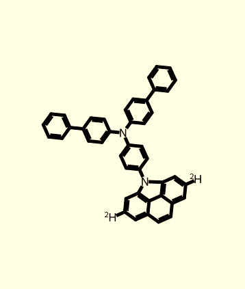 [2H]c1cc2ccc3cc([2H])cc4c3c2c(c1)n4-c1ccc(N(c2ccc(-c3ccccc3)cc2)c2ccc(-c3ccccc3)cc2)cc1